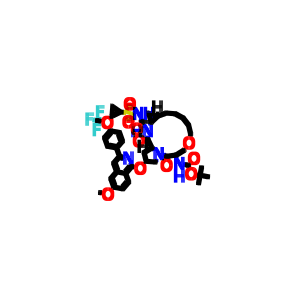 COc1ccc2c(O[C@@H]3C[C@H]4C(=O)N[C@]5(C(=O)NS(=O)(=O)C6CC6)C[C@H]5CCCCCOC[C@H](NC(=O)OC(C)(C)C)C(=O)N4C3)nc(-c3ccc(OC(F)(F)F)cc3)cc2c1